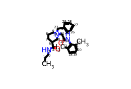 CCCNC(=O)C1CCC[N+](CC(=O)Nc2c(C)cccc2C)(Cc2ccccc2)C1